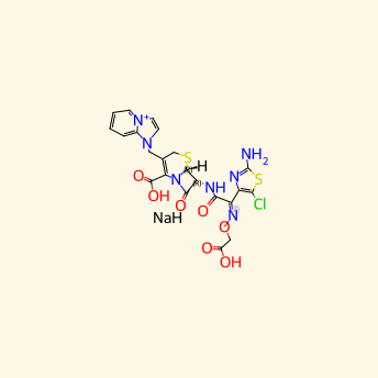 Nc1nc(/C(=N/OCC(=O)O)C(=O)N[C@@H]2C(=O)N3C(C(=O)O)=C(Cn4cc[n+]5ccccc45)CS[C@H]23)c(Cl)s1.[NaH]